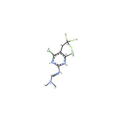 CN(C)C=Nc1nc(Cl)c(CC(F)(F)F)c(Cl)n1